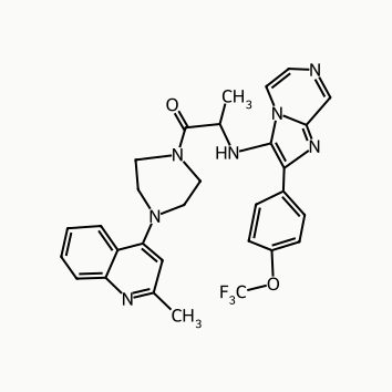 Cc1cc(N2CCN(C(=O)C(C)Nc3c(-c4ccc(OC(F)(F)F)cc4)nc4cnccn34)CC2)c2ccccc2n1